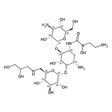 NCCN(O)C(=O)N[C@@H]1C[C@H](N)C(O[C@H]2O[C@H](CNCC(O)CO)[C@@H](O)[C@H](O)[C@H]2O)[C@H](O)[C@H]1O[C@H]1O[C@H](CO)[C@@H](O)[C@H](N)[C@H]1O